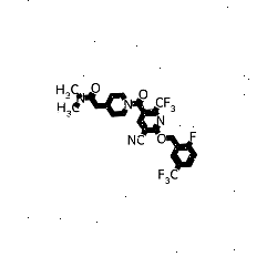 CN(C)C(=O)CC1CCN(C(=O)c2cc(C#N)c(OCc3cc(C(F)(F)F)ccc3F)nc2C(F)(F)F)CC1